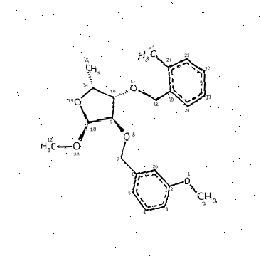 COc1cccc(CO[C@H]2[C@@H](OC)O[C@H](C)[C@@H]2OCc2ccccc2C)c1